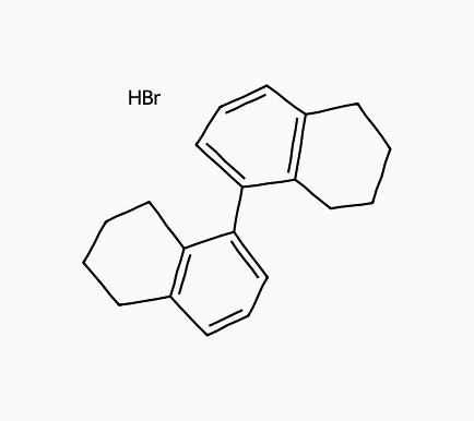 Br.c1cc2c(c(-c3cccc4c3CCCC4)c1)CCCC2